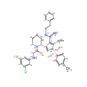 CNc1c(C(=N)N(CCc2ccccc2)[C@H]2CCCN(C(=O)CNc3cc(Cl)cc(Cl)c3)C2)ccn1S(=O)(=O)c1ccc(C)cc1